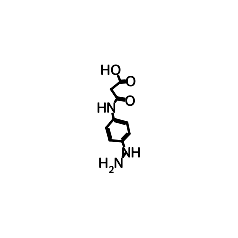 NNc1ccc(NC(=O)CC(=O)O)cc1